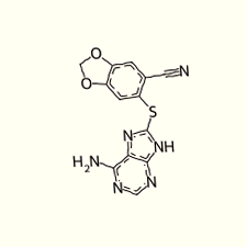 N#Cc1cc2c(cc1Sc1nc3c(N)ncnc3[nH]1)OCO2